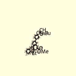 CCCCOC(C)Oc1ccc(-c2ccc3c(c2)C=C(C(=O)OC)CCN3Cc2ccccc2OCC)cc1